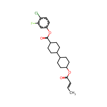 C/C=C/C(=O)OC1CCC(C2CCC(C(=O)Oc3ccc(Cl)c(F)c3)CC2)CC1